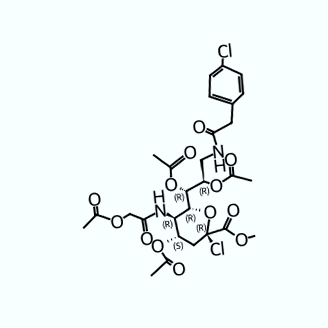 COC(=O)[C@]1(Cl)C[C@H](OC(C)=O)[C@@H](NC(=O)COC(C)=O)[C@H]([C@H](OC(C)=O)[C@@H](CNC(=O)Cc2ccc(Cl)cc2)OC(C)=O)O1